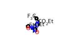 CCOC(=O)C(c1ccc(C(F)(F)F)cc1)N1C[C@H](CC)N(c2cc(=O)n(C)c3cn(C4CCCCO4)nc23)C[C@H]1CC